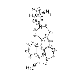 COCCN1C(=O)COc2cc3c(c(-c4ccccc4)c21)CCN(C(=O)OC(C)(C)C)CC3